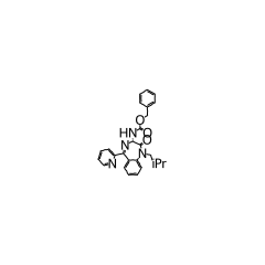 CC(C)CN1C(=O)[C@@H](NC(=O)OCc2ccccc2)N=C(c2ccccn2)c2ccccc21